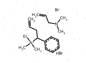 Br.C=CCC(c1ccccc1)[N+](C)(C)CC.C=CCN(C)C.[Br-]